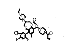 C=CC(=O)N1CCN(c2nc(=O)n3c4c(c(-c5cc(Cl)c(F)cc5F)c(C)cc24)SCC(N2CCN(CC)CC2)C3)CC1